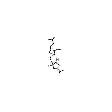 C=C(C)CCC1CN(C[C@H]2[C@H]3CN(C(C)C)C[C@@H]23)CC1CC